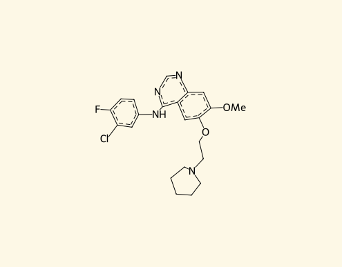 COc1cc2ncnc(Nc3ccc(F)c(Cl)c3)c2cc1OCCN1CCCCC1